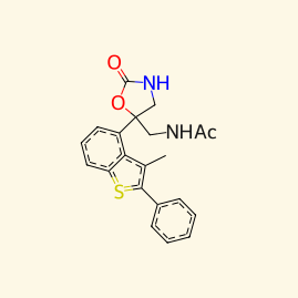 CC(=O)NCC1(c2cccc3sc(-c4ccccc4)c(C)c23)CNC(=O)O1